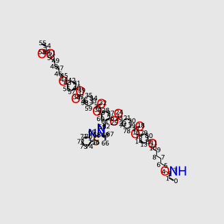 C=CC(=N)OCCCCCCOc1ccc(OC(=O)[C@H]2CC[C@H](C(=O)Oc3ccc(OC(=O)[C@H]4CC[C@H](C(=O)Oc5ccc(OCCCCCCOC(=O)C=C)cc5)CC4)cc3/C=N/N(C(=C)C)c3nc4ccccc4s3)CC2)cc1